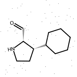 O=[C][C@H]1NCC[C@H]1C1CCCCC1